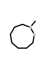 CN1CCCCCCCO1